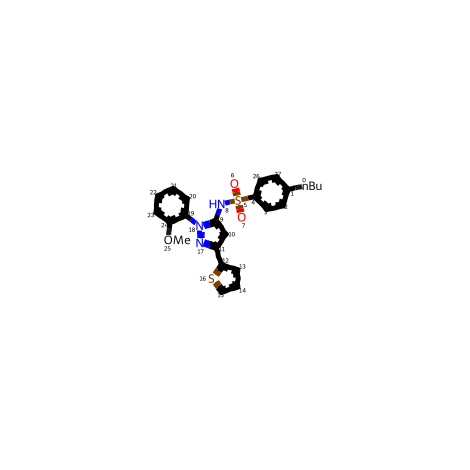 CCCCc1ccc(S(=O)(=O)Nc2cc(-c3cccs3)nn2-c2ccccc2OC)cc1